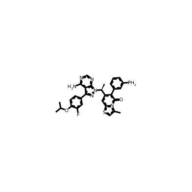 Cc1csc2cc([C@H](C)n3nc(-c4ccc(OC(C)C)c(F)c4)c4c(N)ncnc43)c(-c3cccc(P)c3)c(=O)n12